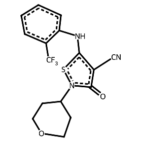 N#Cc1c(Nc2ccccc2C(F)(F)F)sn(C2CCOCC2)c1=O